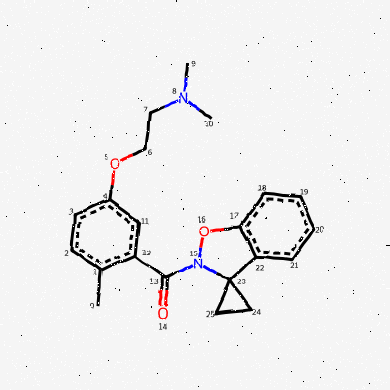 Cc1ccc(OCCN(C)C)cc1C(=O)N1Oc2ccccc2C12CC2